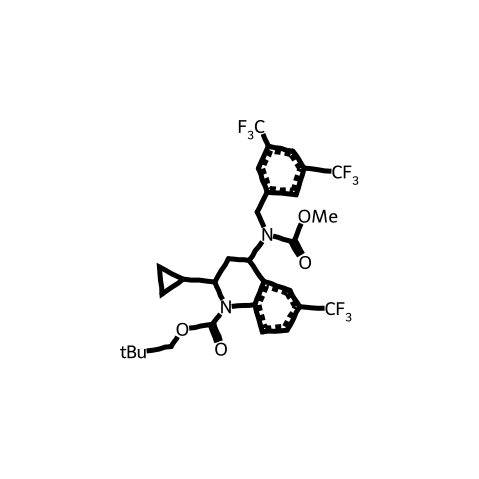 COC(=O)N(Cc1cc(C(F)(F)F)cc(C(F)(F)F)c1)C1CC(C2CC2)N(C(=O)OCC(C)(C)C)c2ccc(C(F)(F)F)cc21